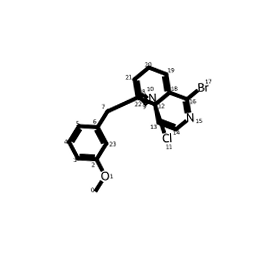 COc1cccc(CC2=CN(Cl)C34C=CN=C(Br)C3=CCC=C24)c1